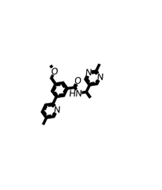 COCc1cc(C(=O)NC(C)c2cnc(C)nc2)cc(-c2ccc(C)cn2)c1